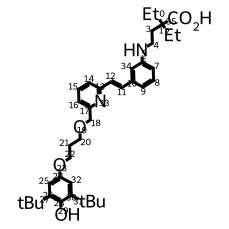 CCC(CC)(CCNc1cccc(C=Cc2cccc(COCCCOc3cc(C(C)(C)C)c(O)c(C(C)(C)C)c3)n2)c1)C(=O)O